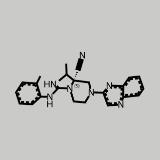 Cc1ccccc1NC(=N)N1CCN(c2cnc3ccccc3n2)C[C@]1(C#N)C(C)C